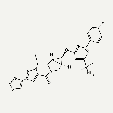 CCn1nc(-c2cscn2)cc1C(=O)N1C[C@@H]2[C@H](C1)[C@@H]2Oc1cc(C(C)(C)N)cc(-c2ccc(F)cc2)n1